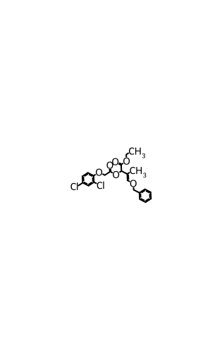 CCOC(=O)C(OC(=O)COc1ccc(Cl)cc1Cl)C(C)=COCc1ccccc1